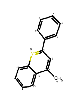 Cc1cc(-c2ccccc2)[s+]c2ccccc12